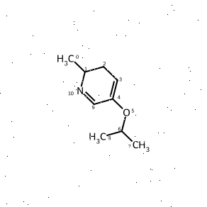 CC1CC=C(OC(C)C)C=N1